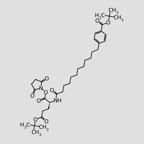 CC(C)(C)OC(=O)CC[C@H](NC(=O)CCCCCCCCCCCc1ccc(C(=O)OC(C)(C)C)cc1)C(=O)ON1C(=O)CCC1=O